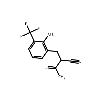 CC(=O)C(C#N)Cc1cccc(C(F)(F)F)c1C